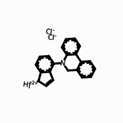 [Cl-].[Cl-].[Hf+2][CH]1C=Cc2c1cccc2N1Cc2ccccc2-c2ccccc21